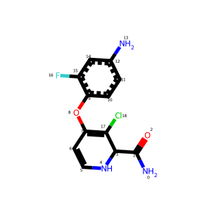 NC(=O)C1NC=CC(Oc2ccc(N)cc2F)=C1Cl